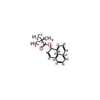 CC(C)(C)C(=O)OC1C=Cc2cccc3cccc1c23